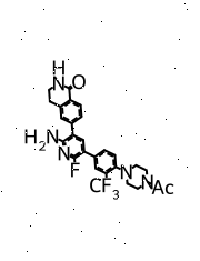 CC(=O)N1CCN(c2ccc(-c3cc(-c4ccc5c(c4)CCNC5=O)c(N)nc3F)cc2C(F)(F)F)CC1